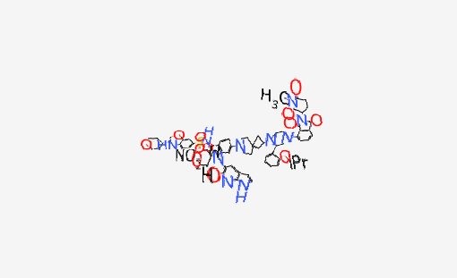 CC(C)Oc1ccccc1[C@@H]1CN(c2cccc3c2C(=O)N(C2CCC(=O)N(C)C2=O)C3=O)CCN1C1CC2(CCN(c3ccc(C(=O)NS(=O)(=O)c4cc5c(c([N+](=O)[O-])c4)N[C@H](C4CCOCC4)CO5)c(N4c5cc6cc[nH]c6nc5O[C@H]5COCC[C@@H]54)c3)CC2)C1